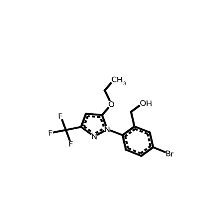 CCOc1cc(C(F)(F)F)nn1-c1ccc(Br)cc1CO